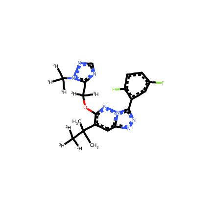 [2H]C([2H])(Oc1nn2c(-c3cc(F)ccc3F)nnc2cc1C(C)(C)C([2H])([2H])[2H])c1ncnn1C([2H])([2H])[2H]